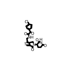 O=C1CCC(N2Cc3c(csc3CNC(=O)C(=O)c3ccc(Cl)cc3)C2=O)C(=O)N1